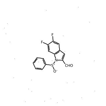 O=Cc1cc2cc(F)c(F)cc2n1[S+]([O-])c1ccccc1